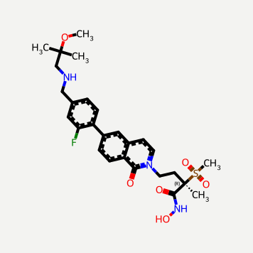 COC(C)(C)CNCc1ccc(-c2ccc3c(=O)n(CC[C@](C)(C(=O)NO)S(C)(=O)=O)ccc3c2)c(F)c1